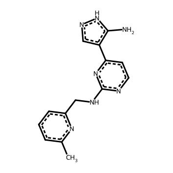 Cc1cccc(CNc2nccc(-c3cn[nH]c3N)n2)n1